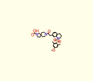 COc1cc(C)c(S(=O)(=O)N2CCCc3ccc(CC(=O)N4CCC5(CCN(C(=O)O)C5)CC4)cc32)c(C)c1